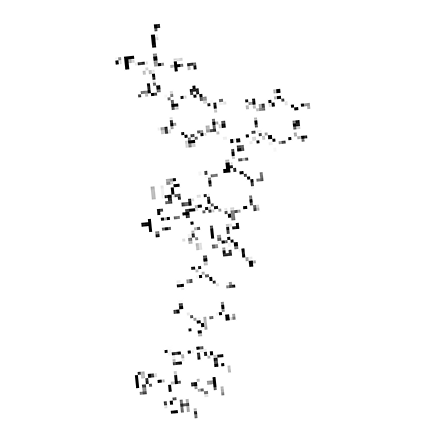 CC(C)(C)OC(=O)N1CCC(CC(=O)N2CCN(C(c3ccccc3)c3ccc(OC(F)(F)F)cc3)C[C@@H]2C(C)(C)C)CC1